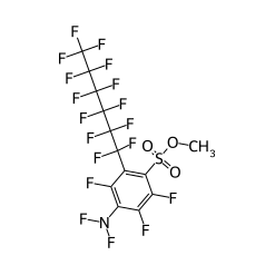 COS(=O)(=O)c1c(F)c(F)c(N(F)F)c(F)c1C(F)(F)C(F)(F)C(F)(F)C(F)(F)C(F)(F)C(F)(F)F